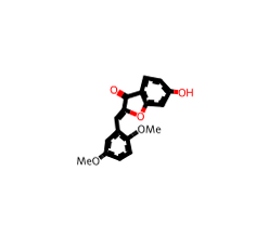 COc1ccc(OC)c(C=C2Oc3cc(O)ccc3C2=O)c1